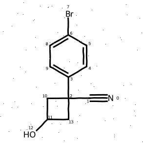 N#CC1(c2ccc(Br)cc2)CC(O)C1